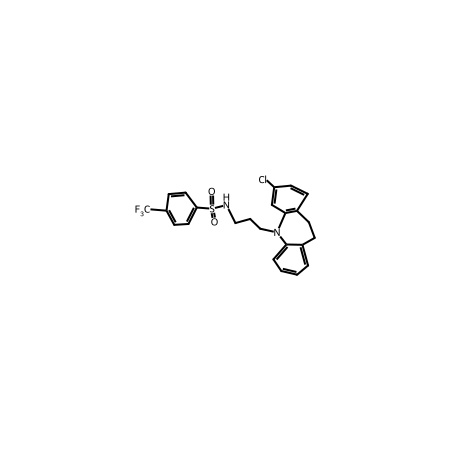 O=S(=O)(NCCCN1c2ccccc2CCc2ccc(Cl)cc21)c1ccc(C(F)(F)F)cc1